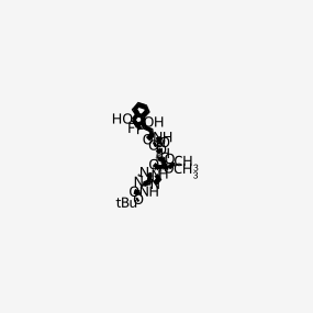 CC(C)(C)OC(=O)Nc1ncnc2c1ncn2[C@@H]1O[C@H](COS(=O)(=O)NC(=O)CCC2(O)c3ccccc3C(O)C2(F)F)[C@H]2OC(C)(C)O[C@H]21